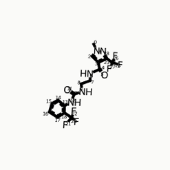 Cn1cc(C(=O)NCCNC(=O)Nc2ccccc2C(F)(F)F)c(C(F)(F)F)n1